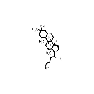 CC(C)CCC[C@@H](C)[C@H]1CC[C@H]2[C@@H]3CCC4CC(C)(O)CC[C@]4(C)[C@H]3CC[C@]12C